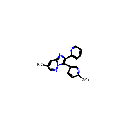 COc1ccc(-c2c(-c3ccccn3)nc3cc(C(F)(F)F)cnn23)cn1